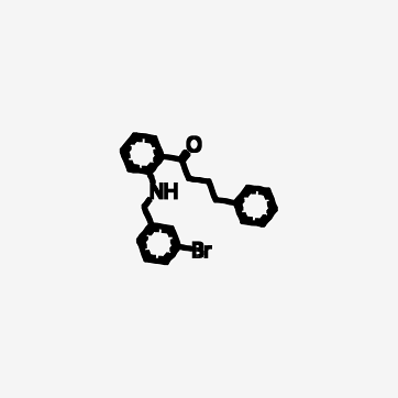 O=C(CCCc1ccccc1)c1ccccc1NCc1cccc(Br)c1